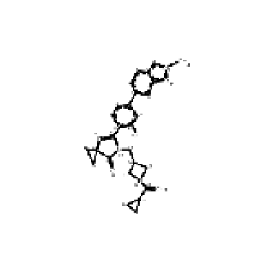 Cn1cc2ccc(-c3ccc(C4=NC5(CC5)C(=O)N4CC4CN(C(=O)C5CC5)C4)c(F)c3)cc2n1